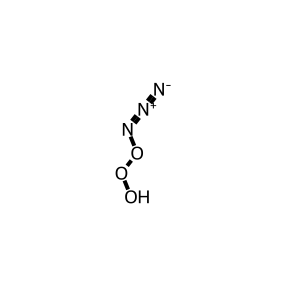 [N-]=[N+]=NOOO